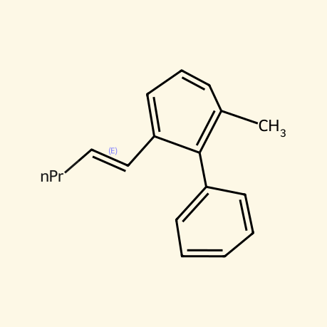 CCC/C=C/c1cccc(C)c1-c1ccccc1